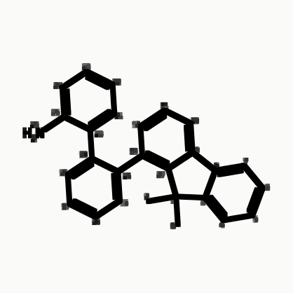 CC1(C)c2ccccc2-c2cccc(-c3ccccc3-c3ccccc3N)c21